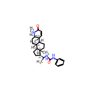 CC(NC(=O)Nc1ccccc1)[C@H]1CC[C@H]2[C@@H]3CC[C@H]4N(C)C(=O)C=C[C@]4(C)[C@H]3CC[C@]12C